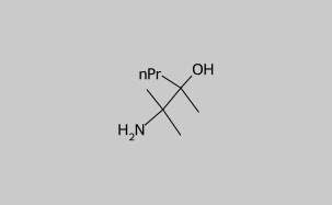 CCCC(C)(O)C(C)(C)N